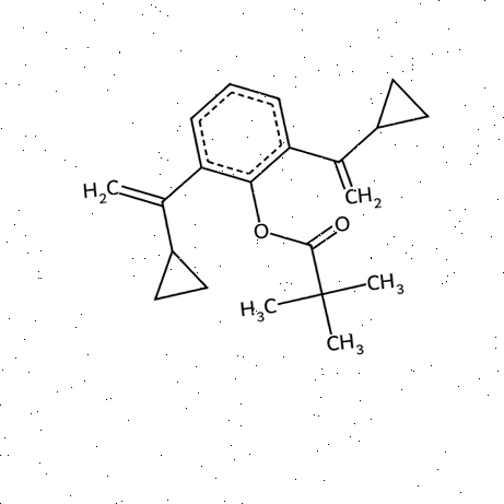 C=C(c1cccc(C(=C)C2CC2)c1OC(=O)C(C)(C)C)C1CC1